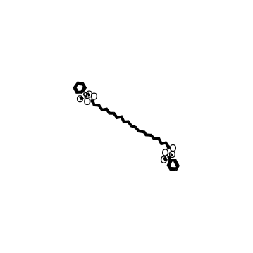 O=C(CCCCCCCCCCCCCCCCCCCCC(=O)OS(=O)(=O)c1ccccc1)OS(=O)(=O)c1ccccc1